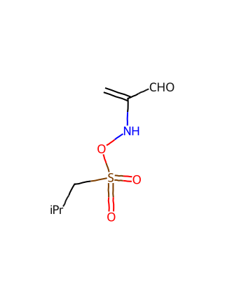 C=C(C=O)NOS(=O)(=O)CC(C)C